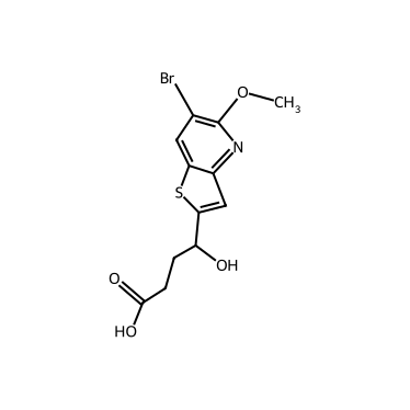 COc1nc2cc(C(O)CCC(=O)O)sc2cc1Br